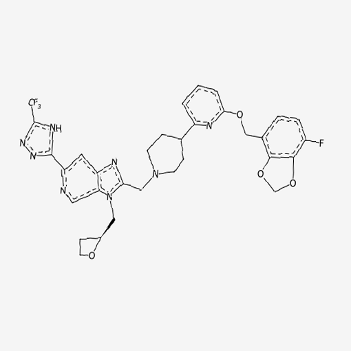 Fc1ccc(COc2cccc(C3CCN(Cc4nc5cc(-c6nnc(C(F)(F)F)[nH]6)ncc5n4C[C@@H]4CCO4)CC3)n2)c2c1OCO2